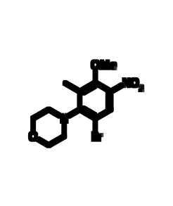 COc1c([N+](=O)[O-])cc(Br)c(N2CCOCC2)c1C